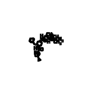 C[C@H](CC(=O)N[C@H]1CC[C@H](NC(=O)c2cc(C3CC3)on2)[C@H](Cc2ccccc2)C1)NC(=O)OC(C)(C)C